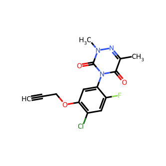 C#CCOc1cc(-n2c(=O)c(C)nn(C)c2=O)c(F)cc1Cl